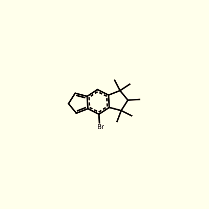 CC1C(C)(C)c2cc3c(c(Br)c2C1(C)C)=CCC=3